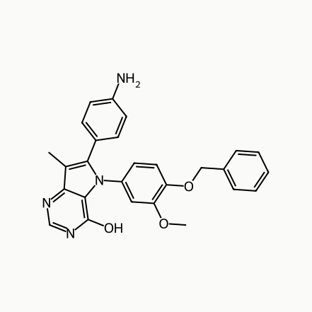 COc1cc(-n2c(-c3ccc(N)cc3)c(C)c3ncnc(O)c32)ccc1OCc1ccccc1